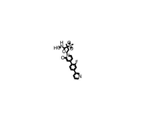 CC(CCn1ccc(-c2ccc(-c3cccnc3)cc2F)cc1=O)(C(=O)NO)S(C)(=O)=O